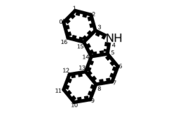 [c]1ccc2[nH]c3ccc4ccccc4c3c2c1